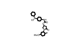 CCN(c1ccccc1)c1ccc(NC(=O)OC2CC(=O)N(c3cc(OC)ccc3C)C2)cc1